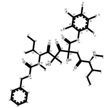 CCC(C)[C@H](NC)C(=O)CC(O)(C(=O)Oc1c(F)c(F)c(F)c(F)c1F)C(=O)C(C)(O)C(=O)[C@H](C(C)CC)N(C)C(=O)OCc1ccccc1